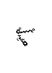 COC(=O)CCCC=CCN1C(=O)CC[C@@H]1COC(=O)NCc1ccccc1